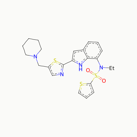 CCN(c1cccc2cc(-c3ncc(CN4CCCCC4)s3)[nH]c12)S(=O)(=O)c1cccs1